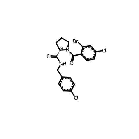 O=C(NCc1ccc(Cl)cc1)[C@@H]1CCCN1C(=O)c1ccc(Cl)cc1Br